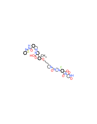 Cc1c(OCCCC[C@@H]2CCCN(CC(=O)N3CCN(c4cc5c(cc4F)C(=O)N(C4CCC(=O)NC4=O)C5=O)CC3)C2)cccc1-c1ccc(N2CCc3cccc(C(=O)Nc4nc5ccccc5s4)c3C2)nc1C(=O)O